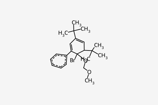 COCOC1(Br)C(c2ccccc2)=CC(C(C)(C)C)=CC1C(C)(C)C